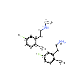 Cc1ccc(F)cc1CCN.Cc1ccc(F)cc1CCNC(=O)O